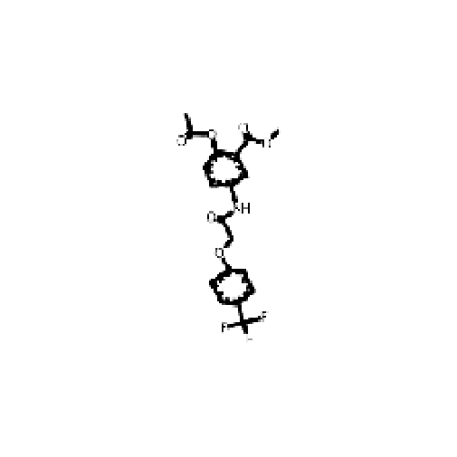 COC(=O)c1cc(NC(=O)COc2ccc(C(F)(F)F)cc2)ccc1OC(C)=O